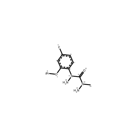 CC(C)Oc1cc(F)ccc1N(N)C(=O)N(C)N